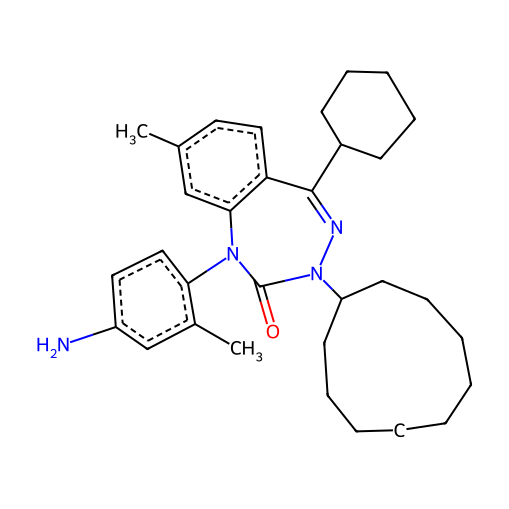 Cc1ccc2c(c1)N(c1ccc(N)cc1C)C(=O)N(C1CCCCCCCCC1)N=C2C1CCCCC1